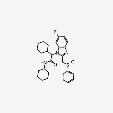 O=C(NC1CCCCC1)C(C1CCCCC1)n1c(C[S+]([O-])c2ccccc2)nc2ccc(F)cc21